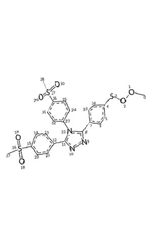 COOSc1ccc(-c2nnc(-c3ccc(S(C)(=O)=O)cc3)n2-c2ccc(S(C)(=O)=O)cc2)cc1